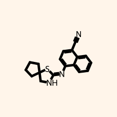 N#Cc1ccc(/N=C2/NCC3(CCCC3)S2)c2ccccc12